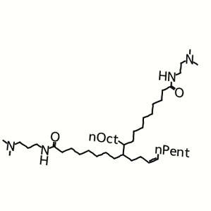 CCCCC/C=C\CCC(CCCCCCCC(=O)NCCCN(C)C)C(CCCCCCCC)CCCCCCCCC(=O)NCCN(C)C